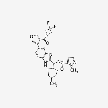 CC1CCC(C(NC(=O)c2ccnn2C)c2nc3nc(-c4cocc4C(=O)N4CC(F)(F)C4)ccc3[nH]2)CC1